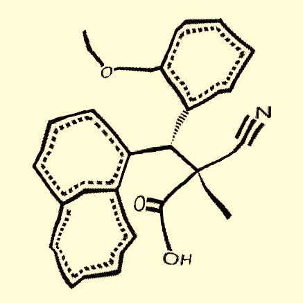 COc1ccccc1[C@@H](c1cccc2ccccc12)[C@](C)(C#N)C(=O)O